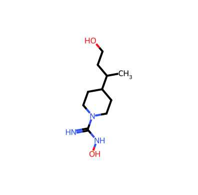 CC(CCO)C1CCN(C(=N)NO)CC1